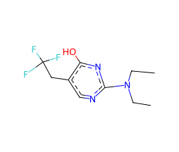 CCN(CC)c1ncc(CC(F)(F)F)c(O)n1